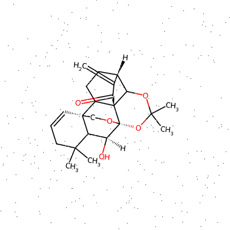 C=C1C(=O)[C@@]23C4OC(C)(C)O[C@]25OC[C@]2(C=CCC(C)(C)C2[C@@H]5O)C3CC[C@@H]14